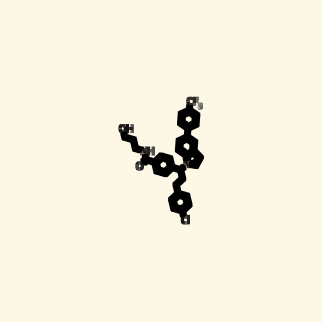 O=C(NCCCO)c1ccc(C(CCc2ccc(Cl)cc2)n2ccc3cc(-c4ccc(C(F)(F)F)cc4)ccc32)cc1